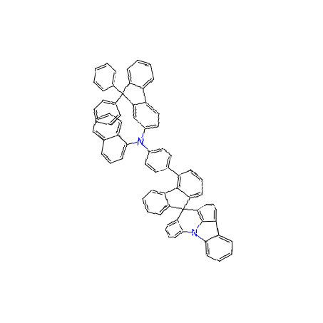 c1ccc(C2(c3ccccc3)c3ccccc3-c3ccc(N(c4ccc(-c5cccc6c5-c5ccccc5C65c6ccccc6-n6c7ccccc7c7cccc5c76)cc4)c4cccc5ccccc45)cc32)cc1